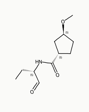 CC[C@@H](C=O)NC(=O)[C@H]1CC[C@H](OC)C1